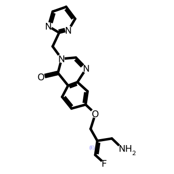 NC/C(=C\F)COc1ccc2c(=O)n(Cc3ncccn3)cnc2c1